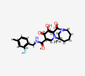 Cc1ccc(CNC(=O)c2cn3c(c(O)c2=O)C(=O)N2CCCC[C@@H]3C2)c(F)c1